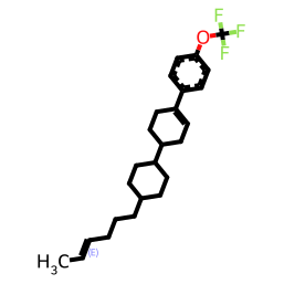 C/C=C/CCCC1CCC(C2CC=C(c3ccc(OC(F)(F)F)cc3)CC2)CC1